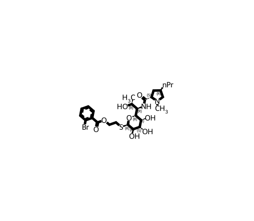 CCC[C@@H]1C[C@@H](C(=O)N[C@@H]([C@H]2O[C@H](SCCOC(=O)c3ccccc3Br)[C@H](O)[C@@H](O)[C@H]2O)[C@@H](C)O)N(C)C1